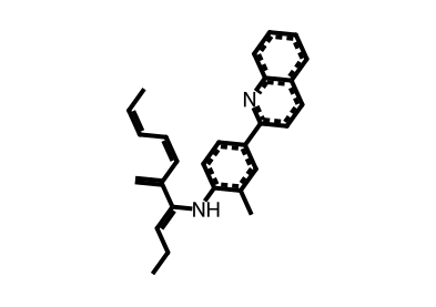 C=C(/C=C\C=C/C)/C(=C/CC)Nc1ccc(-c2ccc3ccccc3n2)cc1C